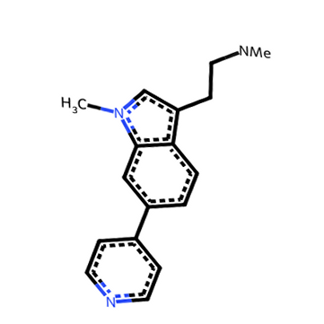 CNCCc1cn(C)c2cc(-c3ccncc3)ccc12